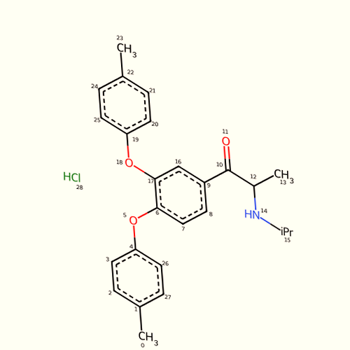 Cc1ccc(Oc2ccc(C(=O)C(C)NC(C)C)cc2Oc2ccc(C)cc2)cc1.Cl